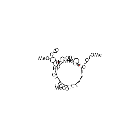 COCCOCCOC1C[C@@H]2CC[C@@H](C)[C@@](O)(O2)C(=O)C(=O)N2CCC[C@@H]3C(C[C@@H]4CCC(OC5COC5)[C@H](OC)C4)[C@H](CC(=O)[C@H](C)/C=C(\C)[C@@H](O)[C@@H](OC)C(=O)[C@H](C)C[C@H](C)/C=C/C=C/C=C/1C)OC(=O)C32